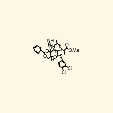 COC(=O)C(C)O[C@@H]1[C@@H](N(N=N)C(C)F)[C@H]2OC(c3ccccc3)OC[C@H]2O[C@@H]1Sc1ccc(Cl)c(Cl)c1